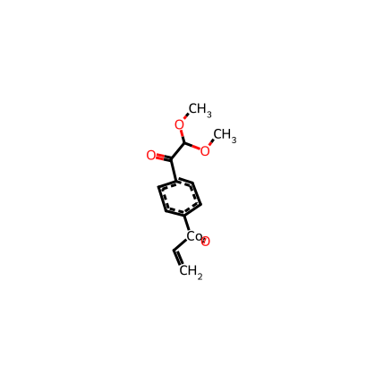 C=[CH][Co](=[O])[c]1ccc(C(=O)C(OC)OC)cc1